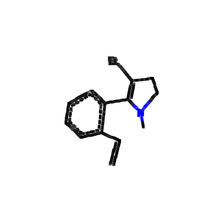 C=Cc1ccccc1C1=C(CC)CCN1C